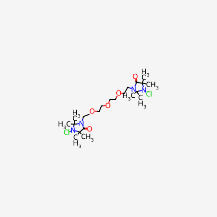 CC1(C)C(=O)N(CCOCCOCCOCCN2C(=O)C(C)(C)N(Cl)C2(C)C)C(C)(C)N1Cl